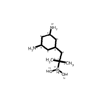 CC(C)(CC1CC(N)CC(N)C1)[SiH](O)O